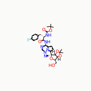 CC(C)(C)OC(=O)N[C@@H](Cc1ccc(F)cc1)C(=O)Nc1ncnn2c([C@]3(C#N)O[C@H](CO)[C@H]4OC(C)(C)O[C@H]43)ccc12